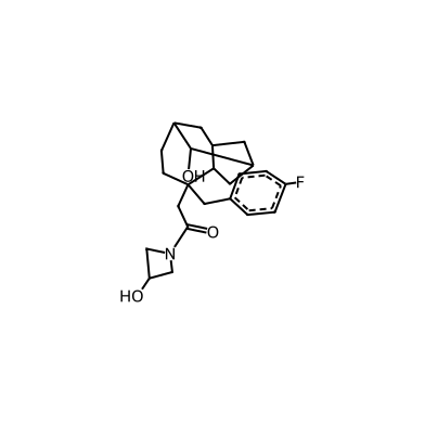 O=C(CC1(Cc2ccc(F)cc2)CCC2CC3CC(CC31)C2O)N1CC(O)C1